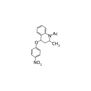 CC(=O)N1c2ccccc2C(Oc2ccc([N+](=O)[O-])cc2)CC1C